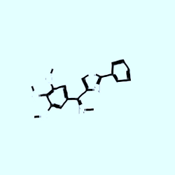 C/N=C(/c1cc(OC)c(OC)c(OC)c1)c1csc(-c2ccccc2)n1